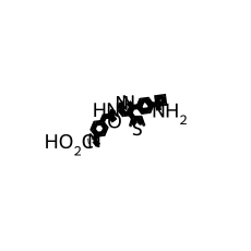 CN(C(=O)O)C1CCC(CC(=O)Nc2cc(-c3ccsc3)c(-c3ccc(C4(N)CCC4)cc3)nn2)CC1